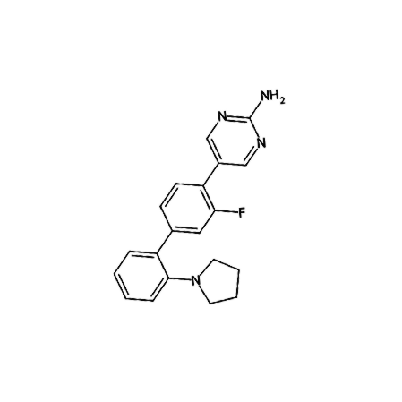 Nc1ncc(-c2ccc(-c3ccccc3N3CCCC3)cc2F)cn1